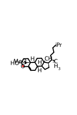 COC(=O)[C@]12CC[C@H](O)CC1=CC[C@@H]1[C@@H]2CC[C@]2(C)[C@@H]([C@H](C)CCCC(C)C)CC[C@@H]12